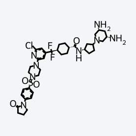 N[C@@H]1C[C@H](N)CN(C2CC[C@H](NC(=O)[C@H]3CC[C@H](C(F)(F)c4cc(Cl)nc(N5CCN(S(=O)(=O)c6ccc(N7CCCC7=O)cc6)CC5)c4)CC3)C2)C1